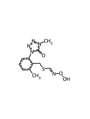 Cc1cccc(-n2nnn(C)c2=O)c1CSC=NOO